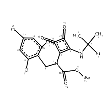 CCC(C)(C)Nc1c(N(Cc2c(C)cc(Cl)cc2Cl)C(=O)OC(C)(C)C)c(=O)c1=O